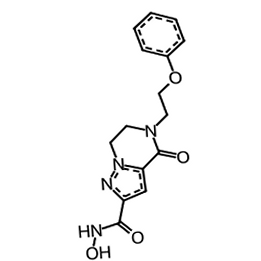 O=C(NO)c1cc2n(n1)CCN(CCOc1ccccc1)C2=O